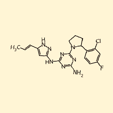 C/C=C/c1cc(Nc2nc(N)nc(N3CCCC3c3ccc(F)cc3Cl)n2)n[nH]1